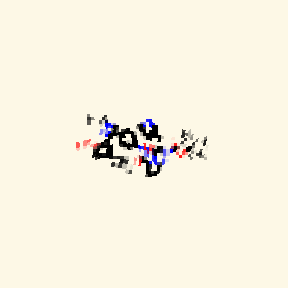 Cc1ccc(O)c(-c2nn(C)cc2-c2ccc(NC(=O)C3CCCCN3C(=O)[C@H](Cc3cccnc3)NC(=O)OC(C)(C)C)cc2)c1